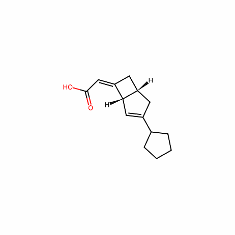 O=C(O)/C=C1/C[C@@H]2CC(C3CCCC3)=C[C@H]12